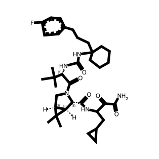 CC(C)(C)[C@H](NC(=O)NC1(CCCc2ccc(F)cc2)CCCCC1)C(=O)N1C[C@H]2[C@@H]([C@H]1C(=O)NC(CC1CC1)C(=O)C(N)=O)C2(C)C